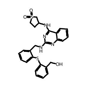 O=S1(=O)CCC(Nc2nc(NCc3ccccc3Sc3ccccc3CO)nc3ccccc23)C1